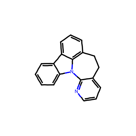 c1cnc2c(c1)CCc1cccc3c4ccccc4n-2c13